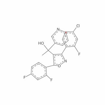 CC(O)(c1cccnc1)c1c(-c2ccc(Cl)cc2F)noc1-c1ccc(F)cc1F